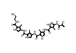 C=C(Cl)C(=O)Nc1n[nH]c(C(=O)Nc2c[nH]c(C(=O)Nc3c[nH]c(C(=O)Nc4c[nH]c(C(=O)NCCC#N)c4C)c3C)c2C)c1C